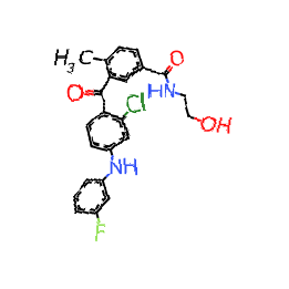 Cc1ccc(C(=O)NCCO)cc1C(=O)c1ccc(Nc2cccc(F)c2)cc1Cl